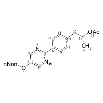 CCCCCCCCCOc1cnc(-c2ccc(CC(C)OC(C)=O)cc2)nc1